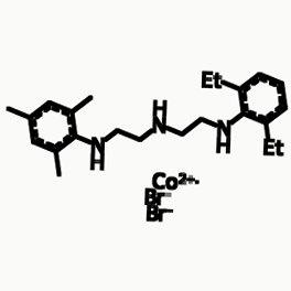 CCc1cccc(CC)c1NCCNCCNc1c(C)cc(C)cc1C.[Br-].[Br-].[Co+2]